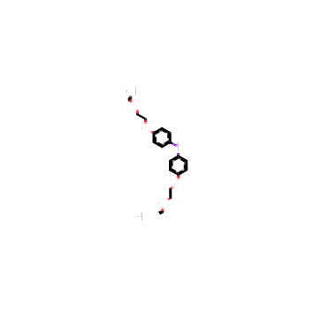 C=COCCOc1ccc([I+]c2ccc(OCCOC=C)cc2)cc1